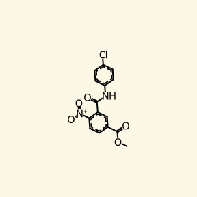 COC(=O)c1ccc([N+](=O)[O-])c(C(=O)Nc2ccc(Cl)cc2)c1